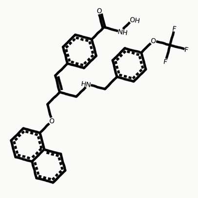 O=C(NO)c1ccc(C=C(CNCc2ccc(OC(F)(F)F)cc2)COc2cccc3ccccc23)cc1